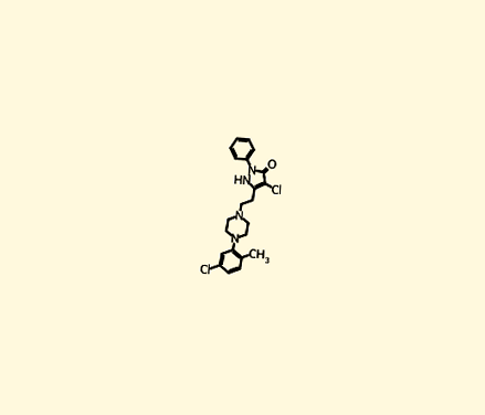 Cc1ccc(Cl)cc1N1CCN(CCc2[nH]n(-c3ccccc3)c(=O)c2Cl)CC1